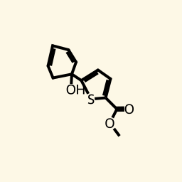 COC(=O)c1ccc(C2(O)C=CC=CC2)s1